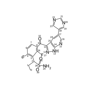 CCC(c1c(F)ccc(C(=O)c2n[nH]c3ncc(-c4cncnc4)cc23)c1F)S(N)(=O)=O